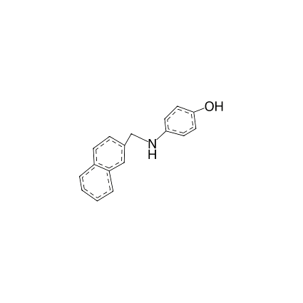 Oc1ccc(NCc2ccc3ccccc3c2)cc1